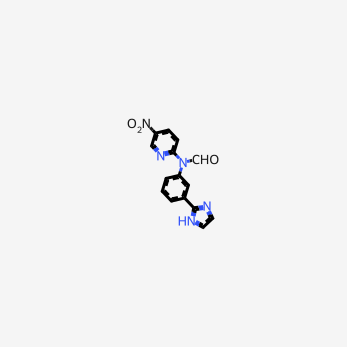 O=CN(c1cccc(-c2ncc[nH]2)c1)c1ccc([N+](=O)[O-])cn1